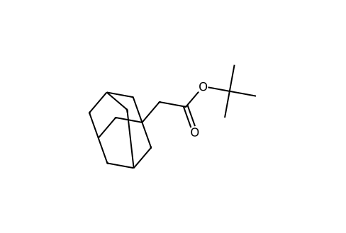 CC(C)(C)OC(=O)CC12CC3CC(CC(C3)C1)C2